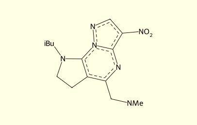 CCC(C)N1CCc2c(CNC)nc3c([N+](=O)[O-])cnn3c21